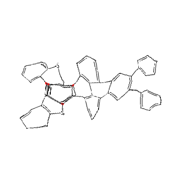 C1=Cc2c(sc3c(-c4cccc5c6cc(-c7ccccc7)c(-c7ccccc7)cc6c6cccc(-c7cccc8c7sc7ccccc78)c6c45)cccc23)CC1